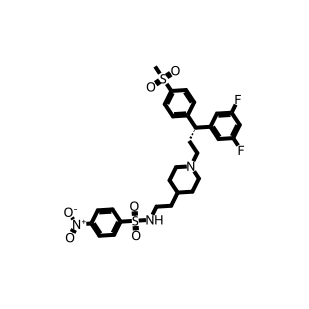 CS(=O)(=O)c1ccc([C@@H](CCN2CCC(CCNS(=O)(=O)c3ccc([N+](=O)[O-])cc3)CC2)c2cc(F)cc(F)c2)cc1